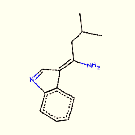 CC(C)CC(N)=C1C=Nc2ccccc21